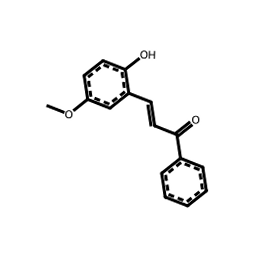 COc1ccc(O)c(/C=C/C(=O)c2ccccc2)c1